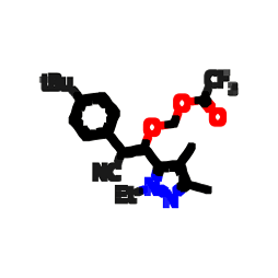 CCn1nc(C)c(C)c1/C(OCOC(=O)C(F)(F)F)=C(\C#N)c1ccc(C(C)(C)C)cc1